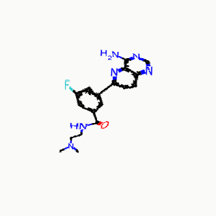 CN(C)CCNC(=O)c1cc(F)cc(-c2ccc3ncnc(N)c3n2)c1